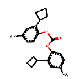 O=C(Oc1ccc([N+](=O)[O-])cc1C1CCC1)Oc1ccc([N+](=O)[O-])cc1C1CCC1